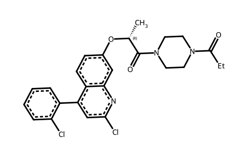 CCC(=O)N1CCN(C(=O)[C@@H](C)Oc2ccc3c(-c4ccccc4Cl)cc(Cl)nc3c2)CC1